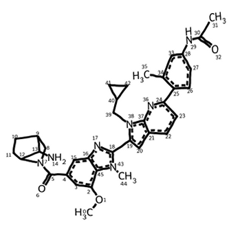 COc1cc(C(=O)N2CC3CCC2C3N)cc2nc(-c3cc4ccc(-c5ccc(NC(C)=O)cc5C)nc4n3CC3CC3)n(C)c12